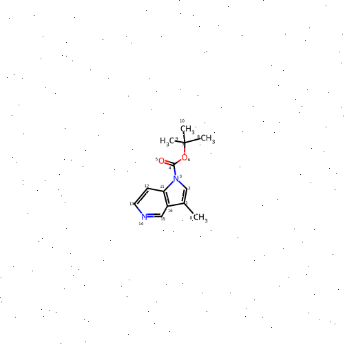 Cc1cn(C(=O)OC(C)(C)C)c2ccncc12